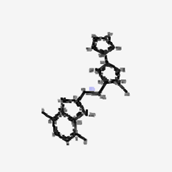 Cc1ccc(C)n2nc(/C=C/c3nc(-c4ccoc4)cn3C)nc12